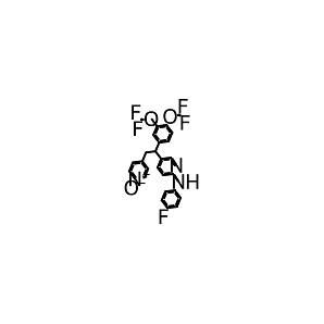 [O-][n+]1ccc(CC(c2ccc(Nc3ccc(F)cc3)nc2)c2ccc(OC(F)F)c(OC(F)F)c2)cc1